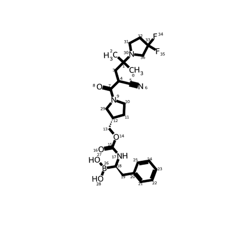 CC(C)(CC(C#N)C(=O)N1CC[C@H](COC(=O)N[C@@H](Cc2ccccc2)B(O)O)C1)N1CCC(F)(F)C1